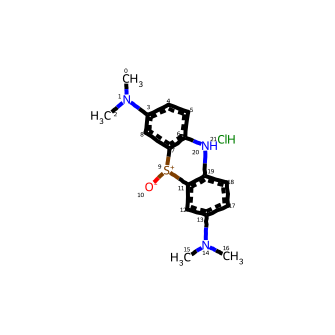 CN(C)c1ccc2c(c1)[S+]([O-])c1cc(N(C)C)ccc1N2.Cl